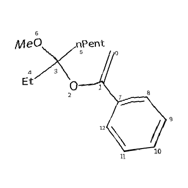 C=C(OC(CC)(CCCCC)OC)c1ccccc1